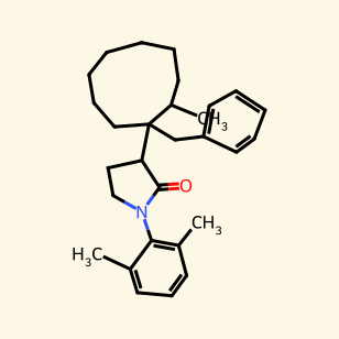 Cc1cccc(C)c1N1CCC(C2(Cc3ccccc3)CCCCCCCC2C)C1=O